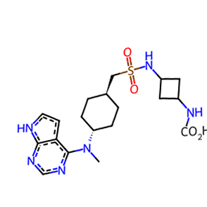 CN(c1ncnc2[nH]ccc12)[C@H]1CC[C@H](CS(=O)(=O)NC2CC(NC(=O)O)C2)CC1